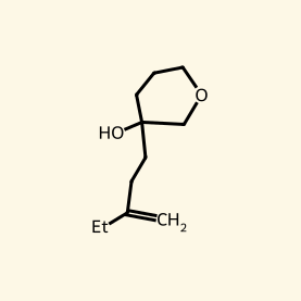 C=C(CC)CCC1(O)CCCOC1